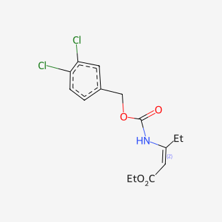 CCOC(=O)/C=C(/CC)NC(=O)OCc1ccc(Cl)c(Cl)c1